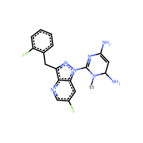 CCN1C(n2nc(Cc3ccccc3F)c3ncc(F)cc32)=NC(N)=[C]C1N